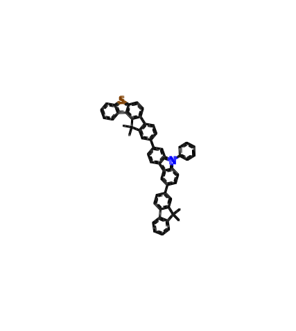 CC1(C)c2ccccc2-c2ccc(-c3ccc4c(c3)c3ccc(-c5ccc6c(c5)C(C)(C)c5c-6ccc6sc7ccccc7c56)cc3n4-c3ccccc3)cc21